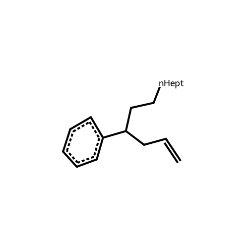 C=CCC(CCCCCCCCC)c1ccccc1